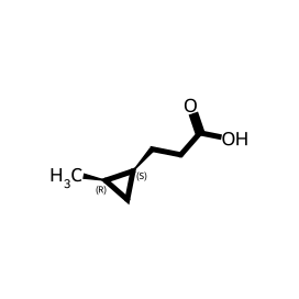 C[C@@H]1C[C@@H]1CCC(=O)O